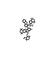 C=CC1=C(CCn2c(/C=C3\C(=C/C)C(C)(C)CCC3(C)C)bc3c(-c4ccc5c(c4Nc4ccc6c(c4)C(C)(C)CCC6(C)C)Cc4ccccc4-5)cc(C)cc32)C(C)(C)CCC1(C)C